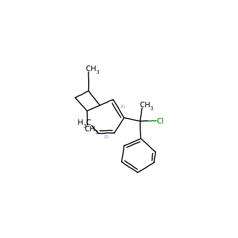 C/C=C\C(=C/C1C(C)CC1C)C(C)(Cl)c1ccccc1